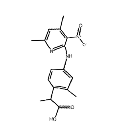 Cc1cc(C)c([N+](=O)[O-])c(Nc2ccc(C(C)C(=O)O)c(C)c2)n1